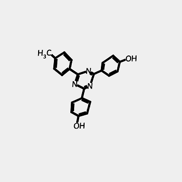 Cc1ccc(-c2nc(-c3ccc(O)cc3)nc(-c3ccc(O)cc3)n2)cc1